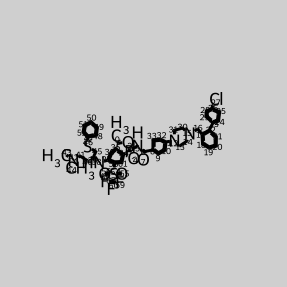 CCOP(=O)(NC(=O)c1ccc(N2CCN(Cc3ccccc3-c3ccc(Cl)cc3)CC2)cc1)c1ccc(N[C@H](CCN(C)C)CSc2ccccc2)c(S(=O)(=O)C(F)(F)F)c1